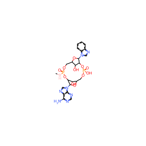 CBP1(=O)OCC2OC(n3cnc4ccccc43)C(OP(=O)(O)OCC3OC(n4cnc5c(N)ncnc54)C(O1)C3O)C2O